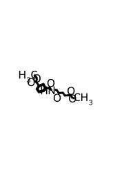 COC(=O)CCC(=O)CNC(=O)c1cccc(C(=O)OC)c1